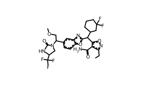 CCc1noc(C(c2nc3cc(C(COC)N4CC(C(F)(F)F)NC4=O)ccc3o2)C2CCCC(F)(F)C2)c1C(N)=O